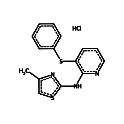 Cc1csc(Nc2ncccc2Sc2ccccc2)n1.Cl